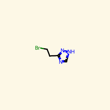 BrCCc1nc[nH]n1